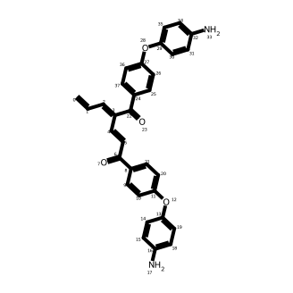 C=C/C=C(\C=C\C(=O)c1ccc(Oc2ccc(N)cc2)cc1)C(=O)c1ccc(Oc2ccc(N)cc2)cc1